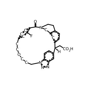 O=C(O)C[C@H]1c2ccc3c(c2)CN(CC3)C(=O)c2ccc(cc2F)CCOCCCn2nnc3cc1ccc32